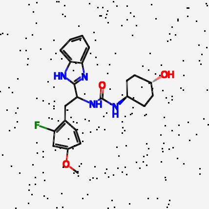 COc1ccc(CC(NC(=O)N[C@H]2CC[C@H](O)CC2)c2nc3ccccc3[nH]2)c(F)c1